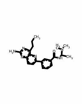 CCCc1nc(N)nc2ccc(-c3cccc(C(=O)NC(C)N(C)C)c3)nc12